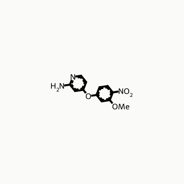 COc1cc(Oc2ccnc(N)c2)ccc1[N+](=O)[O-]